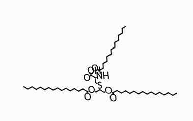 CCCCCCCCCCCCCCCC(=O)OCC(COC(=O)CCCCCCCCCCCCCCC)SC[C@H](NC(=O)CCCCCCCCCCCCC)C(=O)O